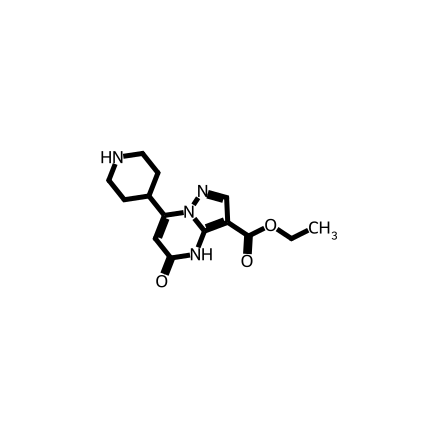 CCOC(=O)c1cnn2c(C3CCNCC3)cc(=O)[nH]c12